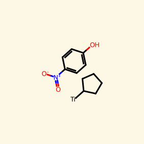 O=[N+]([O-])c1ccc(O)cc1.[Ti][CH]1CCCC1